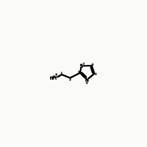 [CH2]CCCCc1nccs1